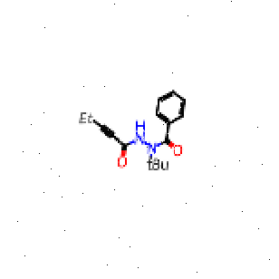 CCC#CC(=O)NN(C(=O)c1ccccc1)C(C)(C)C